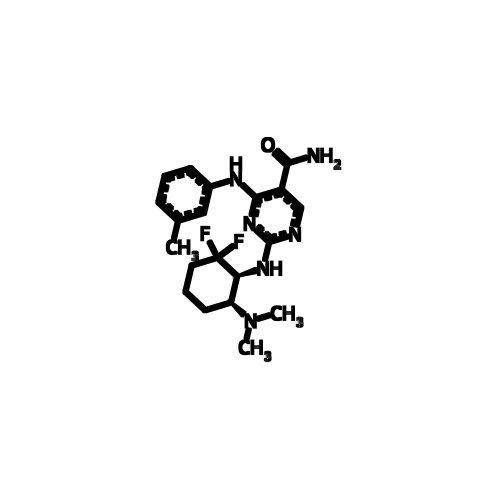 Cc1cccc(Nc2nc(N[C@H]3[C@@H](N(C)C)CCCC3(F)F)ncc2C(N)=O)c1